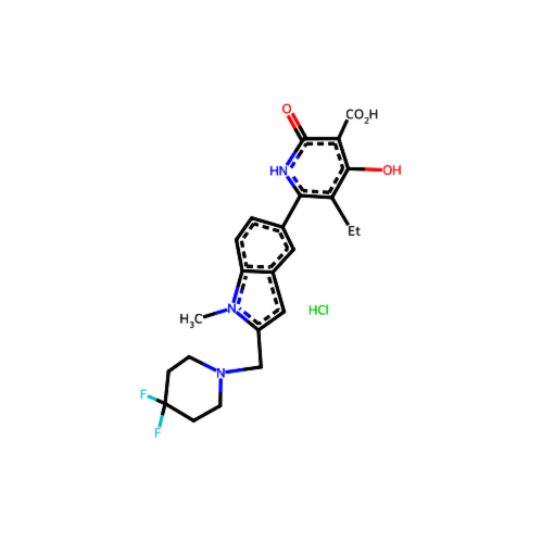 CCc1c(-c2ccc3c(c2)cc(CN2CCC(F)(F)CC2)n3C)[nH]c(=O)c(C(=O)O)c1O.Cl